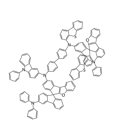 c1ccc(N(c2ccccc2)c2ccc3c(c2)-c2ccccc2C32c3ccc(N(c4ccc(-c5ccc(N(c6ccc7c(c6)-c6ccccc6C76c7oc8ccccc8c7-c7cccc(N(c8ccccc8)c8cccc9c8sc8ccccc89)c76)c6cccc7c6sc6ccccc67)cc5)cc4)c4ccc5c(c4)c4ccccc4n5-c4ccccc4)cc3-c3c2oc2ccccc32)cc1